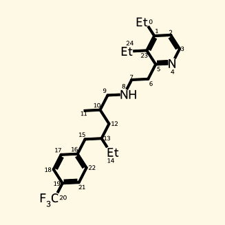 CCc1ccnc(CCNCC(C)CC(CC)Cc2ccc(C(F)(F)F)cc2)c1CC